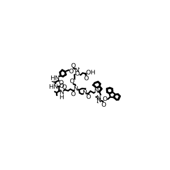 C=NC(=O)OCc1ccc(NC(=O)[C@H](C)NC(=O)[C@@H](NC(=O)CCC(=O)N(CCOCCOCCC(=O)O)C2CCN(C(=O)CCn3c(CN(C)N(C)C(=O)OCC4c5ccccc5-c5ccccc54)cc4ccccc43)CC2)C(C)C)cc1